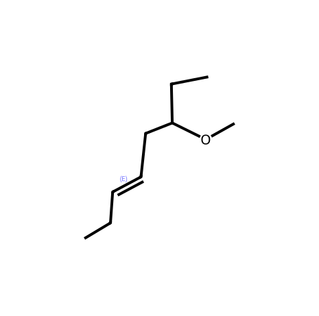 CC/C=C/CC(CC)OC